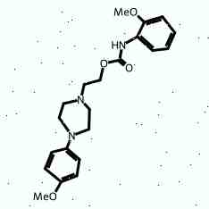 COc1ccc(N2CCN(CCOC(=O)Nc3ccccc3OC)CC2)cc1